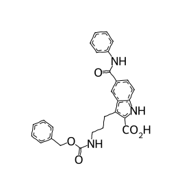 O=C(NCCCc1c(C(=O)O)[nH]c2ccc(C(=O)Nc3ccccc3)cc12)OCc1ccccc1